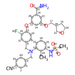 [C-]#[N+]c1ccc(CN(Cc2ccc(Oc3cc(OCC4CCOC4)cc(C(N)=O)c3)c(F)c2)c2cccc(NS(C)(=O)=O)c2C)cc1